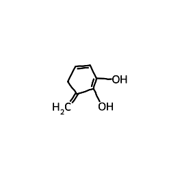 C=C1CC=CC(O)=C1O